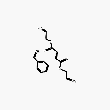 C=CCOC(=O)C=CC(=O)OCC=C.C=Cc1ccccc1